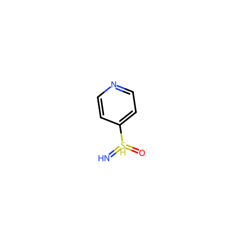 N=[SH](=O)c1ccncc1